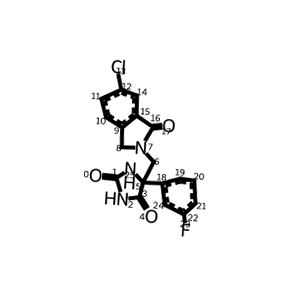 O=C1NC(=O)C(CN2Cc3ccc(Cl)cc3C2=O)(c2cccc(F)c2)N1